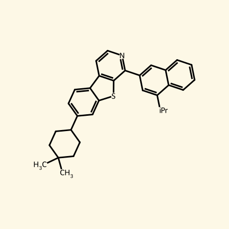 CC(C)c1cc(-c2nccc3c2sc2cc(C4CCC(C)(C)CC4)ccc23)cc2ccccc12